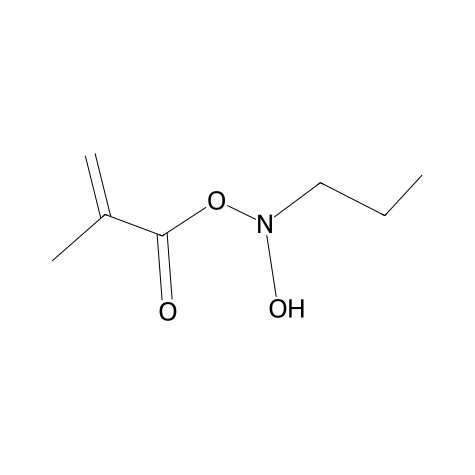 C=C(C)C(=O)ON(O)CCC